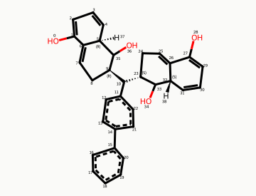 OC1=CC=C[C@@H]2C1=CC[C@H](C(c1ccc(-c3ccccc3)cc1)[C@@H]1CC=C3C(O)=CC=C[C@@H]3C1O)C2O